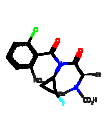 CC[C@@H](C(=O)N(C(=O)c1c(Cl)cccc1[N+](=O)[O-])[C@@H]1C[C@@H]1F)N(C(=O)O)C(C)(C)C